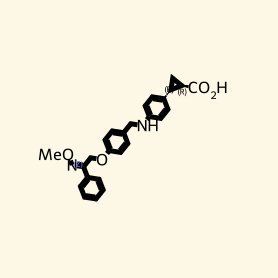 CO/N=C(\COc1ccc(CNc2ccc([C@@H]3C[C@H]3C(=O)O)cc2)cc1)c1ccccc1